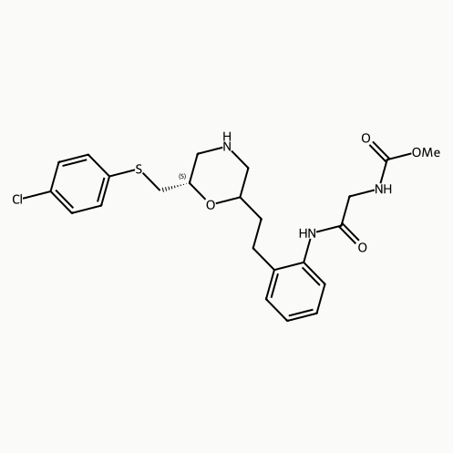 COC(=O)NCC(=O)Nc1ccccc1CCC1CNC[C@@H](CSc2ccc(Cl)cc2)O1